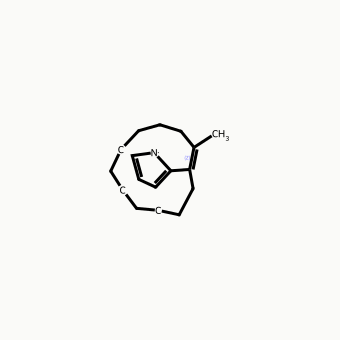 C/C1=C(/C2=CC=C[N]2)CCCCCCCCCC1